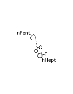 CCCCCCCc1ccc(OC(=O)CC[C@H]2CC[C@H](CCCCC)CC2)cc1F